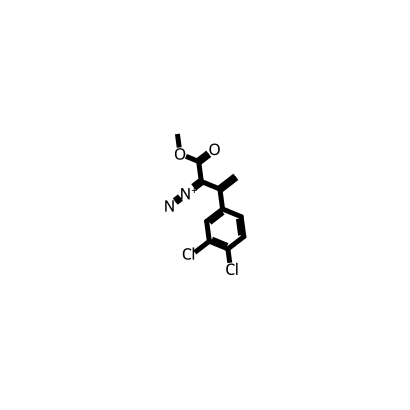 C=C(C(=[N+]=[N-])C(=O)OC)c1ccc(Cl)c(Cl)c1